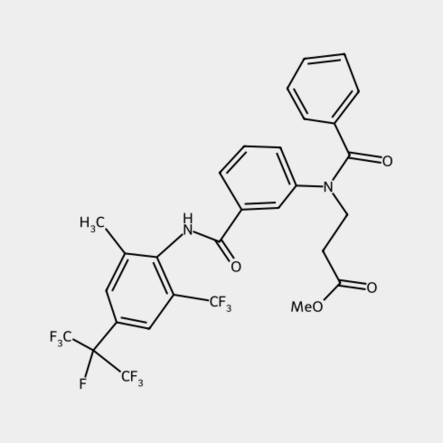 COC(=O)CCN(C(=O)c1ccccc1)c1cccc(C(=O)Nc2c(C)cc(C(F)(C(F)(F)F)C(F)(F)F)cc2C(F)(F)F)c1